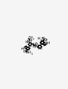 C=CC(=O)N[C@H]1CC(/C=C/C(=O)N[C@H]2CCC[C@@H](c3ccc(C(N)=O)c4[nH]ccc34)C2)C[C@H](c2ccc(C(N)=O)c3[nH]ccc23)C1